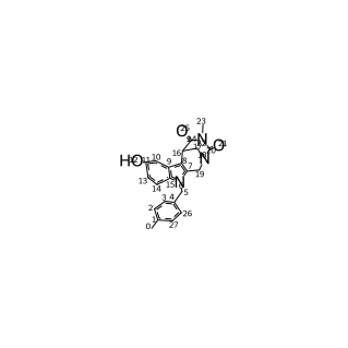 Cc1ccc(Cn2c3c(c4cc(O)ccc42)C2CN(C3)C(=O)N(C)C2=O)cc1